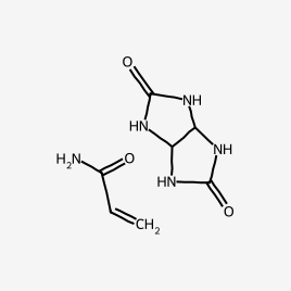 C=CC(N)=O.O=C1NC2NC(=O)NC2N1